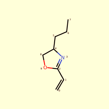 C=CC1=NC(CCC)CO1